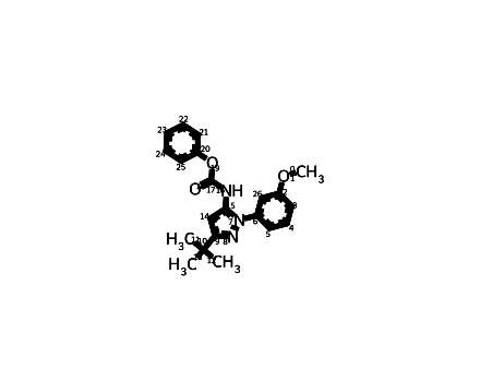 COc1cccc(-n2nc(C(C)(C)C)cc2NC(=O)Oc2ccccc2)c1